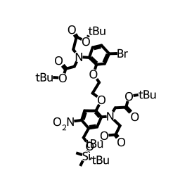 CC(C)(C)OC(=O)CN(CC(=O)OC(C)(C)C)c1ccc(Br)cc1OCCOc1cc([N+](=O)[O-])c(CO[Si](C)(C)C(C)(C)C)cc1N(CC(=O)OC(C)(C)C)CC(=O)OC(C)(C)C